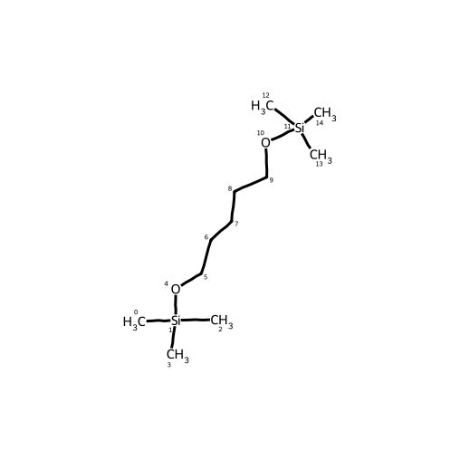 C[Si](C)(C)OCCCCCO[Si](C)(C)C